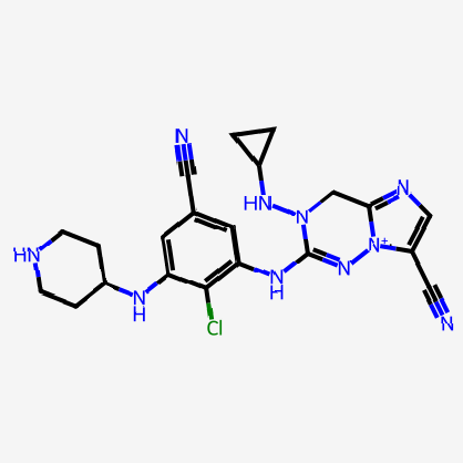 N#CC1=CN=C2CN(NC3CC3)C(Nc3cc(C#N)cc(NC4CCNCC4)c3Cl)=N[N+]12